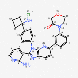 Nc1ncccc1-c1nc2ccc(-c3cccc(N4CCOCC4=O)c3)nc2n1-c1ccc(C2(NCl)CCC2)cc1